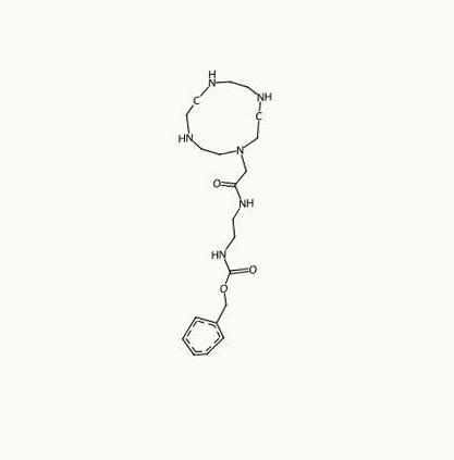 O=C(CN1CCNCCNCCNCC1)NCCNC(=O)OCc1ccccc1